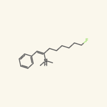 C[SiH](C)C(=Cc1ccccc1)CCCCCCF